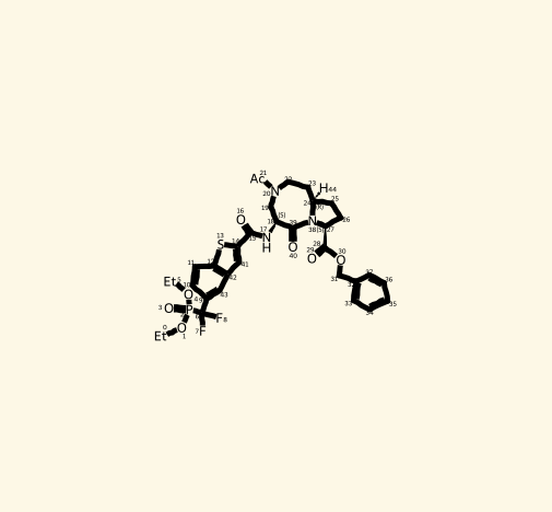 CCOP(=O)(OCC)C(F)(F)c1ccc2sc(C(=O)N[C@H]3CN(C(C)=O)CC[C@H]4CC[C@@H](C(=O)OCc5ccccc5)N4C3=O)cc2c1